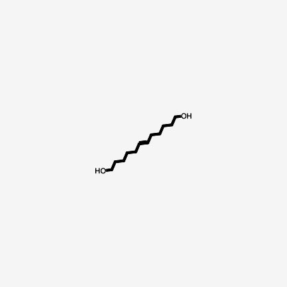 OCCCCCC=CCCCCCO